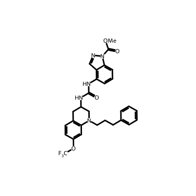 COC(=O)n1ncc2c(NC(=O)NC3Cc4ccc(OC(F)(F)F)cc4N(CCCc4ccccc4)C3)cccc21